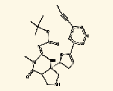 CC#Cc1cncc(C2=CCC([C@]34CNCC3C(=O)N(C)/C(=N/C(=O)OC(C)(C)C)N4)S2)c1